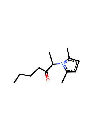 CCCCC(=O)C(C)n1c(C)ccc1C